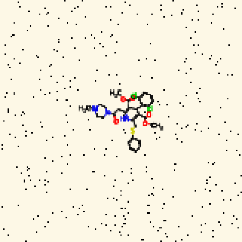 COC(=O)C1=C(CSc2ccccc2)NC(CC(=O)N2CCN(C)CC2)=C(C(=O)OC)C1c1c(Cl)cccc1Cl